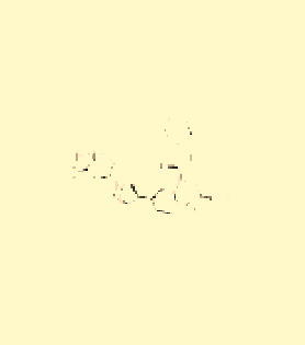 CC1CN(C(=O)OC2CCOCC2)c2cc(-c3cnn(C4CCNC(=O)C4)c3)ccc2N1C